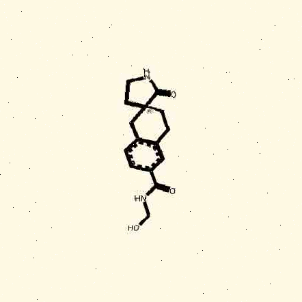 O=C(NCO)c1ccc2c(c1)CC[C@]1(CCNC1=O)C2